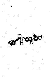 O=C(C#Cc1ccc2nccn2c1)NCc1ccc2c(c1)CN(C1CCC(=O)NC1=O)C2=O